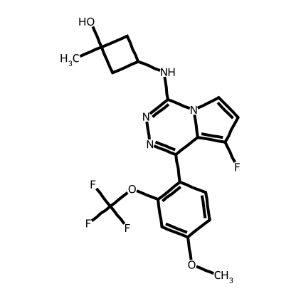 COc1ccc(-c2nnc(NC3CC(C)(O)C3)n3ccc(F)c23)c(OC(F)(F)F)c1